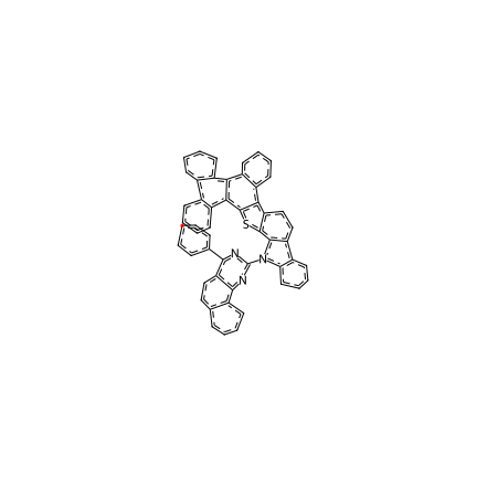 c1ccc(-c2nc(-n3c4ccccc4c4ccc5c(sc6c5c5ccccc5c5c7ccccc7c7ccccc7c65)c43)nc3c2ccc2ccccc23)cc1